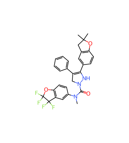 CN(C(=O)N1CC(c2ccccc2)=C(c2ccc3c(c2)CC(C)(C)O3)N1)c1ccc2c(c1)C(F)(F)C(F)(F)O2